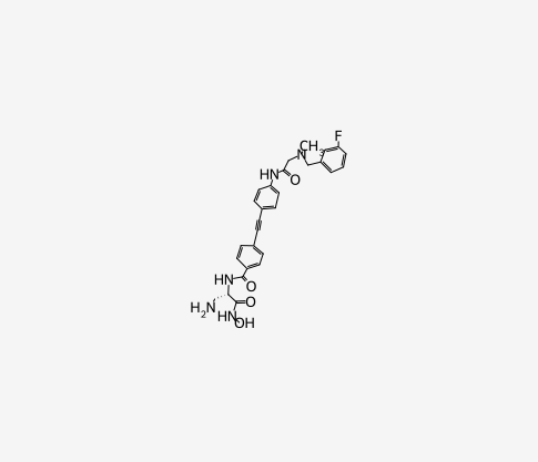 CN(CC(=O)Nc1ccc(C#Cc2ccc(C(=O)N[C@@H](CN)C(=O)NO)cc2)cc1)Cc1cccc(F)c1